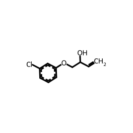 C=CC(O)COc1cccc(Cl)c1